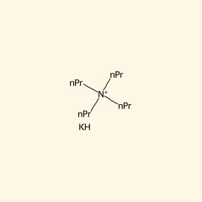 CCC[N+](CCC)(CCC)CCC.[KH]